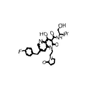 CC(C)C(CO)NC(=O)c1c(O)c2ncc(Cc3ccc(F)cc3)cc2n(CCN2CCCC2=O)c1=O